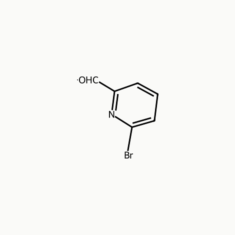 O=[C]c1cccc(Br)n1